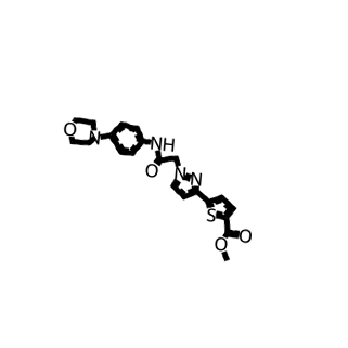 COC(=O)c1ccc(-c2ccn(CC(=O)Nc3ccc(N4CCOCC4)cc3)n2)s1